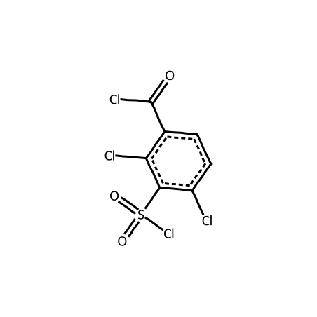 O=C(Cl)c1ccc(Cl)c(S(=O)(=O)Cl)c1Cl